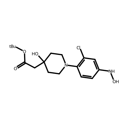 CC(C)(C)OC(=O)CC1(O)CCN(c2ccc(NO)cc2Cl)CC1